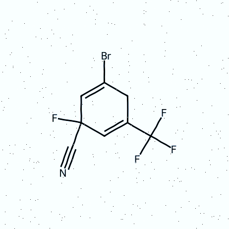 N#CC1(F)C=C(Br)CC(C(F)(F)F)=C1